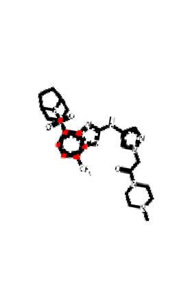 CN1CCN(C(=O)Cn2cc(Nc3nc4c(N5CC6CCC(C5)N6S(=O)(=O)c5ccc(C(F)(F)F)cc5)cccn4n3)cn2)CC1